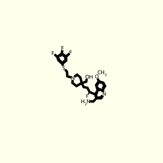 COc1ccc2ncc(CN)c([C@@H](F)CCC3(CO)CCN(CCSc4cc(F)c(F)c(F)c4)CC3)c2c1